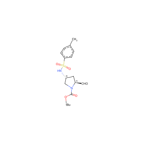 Cc1ccc(S(=O)(=O)N[C@@H]2C[C@@H](C=O)N(C(=O)OC(C)(C)C)C2)cc1